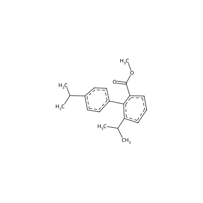 COC(=O)c1cccc(C(C)C)c1-c1ccc(C(C)C)cc1